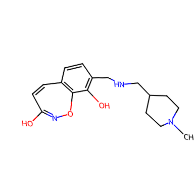 CN1CCC(CNCc2ccc3c(c2O)ON=C(O)C=C3)CC1